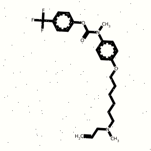 C=CCN(C)CCCCCCOc1ccc(N(C)C(=O)Oc2ccc(C(F)(F)F)cc2)cc1